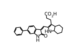 O=C(O)CCC1=C(/C=C2\C(=O)Nc3cc(-c4ccccc4)ccc32)NC2CCCCC12